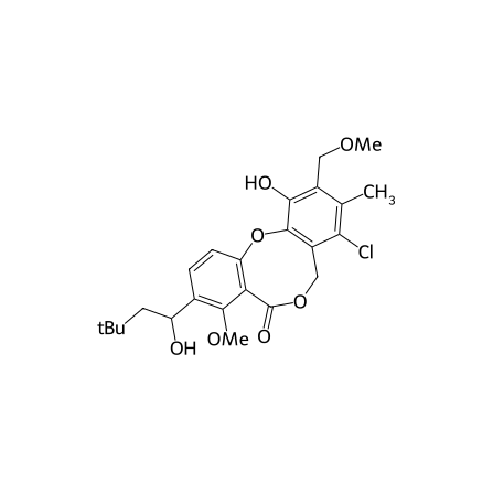 COCc1c(C)c(Cl)c2c(c1O)Oc1ccc(C(O)CC(C)(C)C)c(OC)c1C(=O)OC2